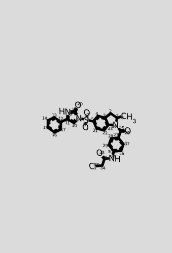 CC1Cc2cc(S(=O)(=O)n3cc(-c4ccccc4)[nH]c3=O)ccc2N1C(=O)c1ccc(NC(=O)CCl)cc1